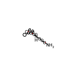 NCCCOCCOCCOCCCNC(=O)COCC(=O)OC(c1ccccc1)(c1ccc(C2CCCCCCCC2)cc1)c1ccccc1Cl